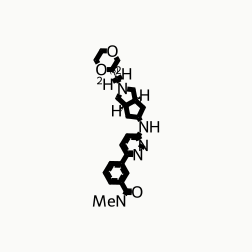 [2H]C([2H])([C@H]1COCCO1)N1C[C@H]2CC(Nc3ccc(-c4cccc(C(=O)NC)c4)nn3)C[C@H]2C1